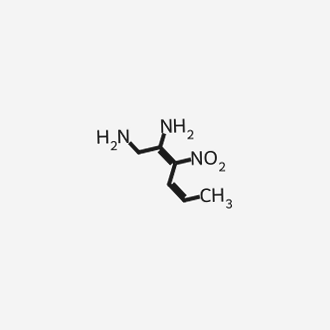 C/C=C\C(=C(\N)CN)[N+](=O)[O-]